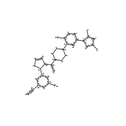 Cc1nc(C)n(-c2ncc(F)c(N3CCN(C(=O)N4N=CCC4c4cc(F)cc(C#N)c4)CC3)n2)n1